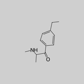 CCc1ccc(C(=O)C(C)NC)cc1